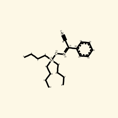 CCC[CH2][Sn]([CH2]CCC)([CH2]CCC)[O]N=C(C#N)c1ccccc1